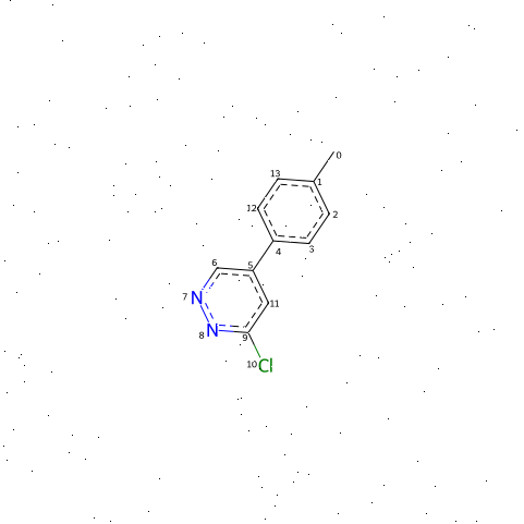 Cc1ccc(-c2cnnc(Cl)c2)cc1